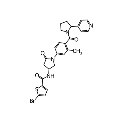 Cc1cc(N2CC(NC(=O)c3ccc(Br)s3)CC2=O)ccc1C(=O)N1CCCC1c1ccncc1